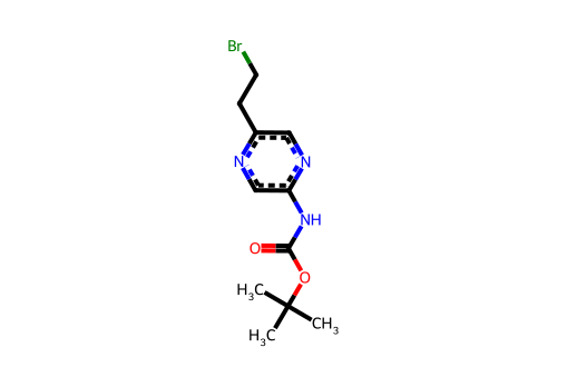 CC(C)(C)OC(=O)Nc1cnc(CCBr)cn1